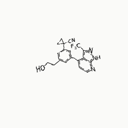 N#CC1(c2cc(CCO)cc(-c3ccnc4[nH]nc(C(F)(F)F)c34)c2)CC1